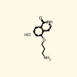 Cl.NCCCOc1cccc2c(=O)[nH]ccc12